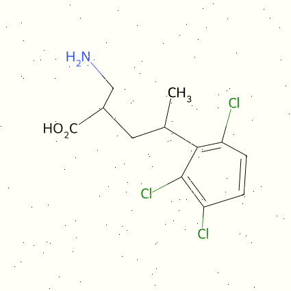 CC(CC(CN)C(=O)O)c1c(Cl)ccc(Cl)c1Cl